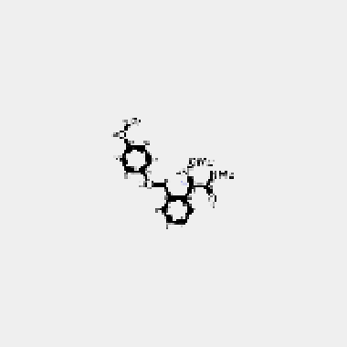 CNC(=O)/C(=N\OC)c1ccccc1COc1ccc(OC(C)C)cc1